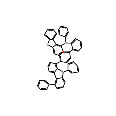 c1ccc(-c2cccc3c2c2cccc(-c4ccc(-c5ccccc5N(c5ccccc5)c5cccc6oc7ccccc7c56)cc4)c2n3-c2ccccc2)cc1